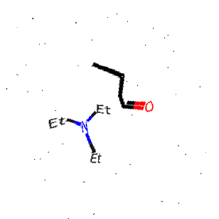 CCC=O.CCN(CC)CC